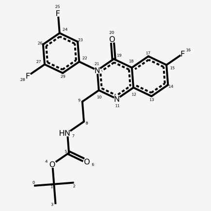 CC(C)(C)OC(=O)NCCc1nc2ccc(F)cc2c(=O)n1-c1cc(F)cc(F)c1